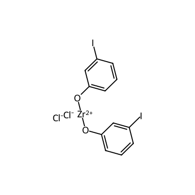 Ic1cccc([O][Zr+2][O]c2cccc(I)c2)c1.[Cl-].[Cl-]